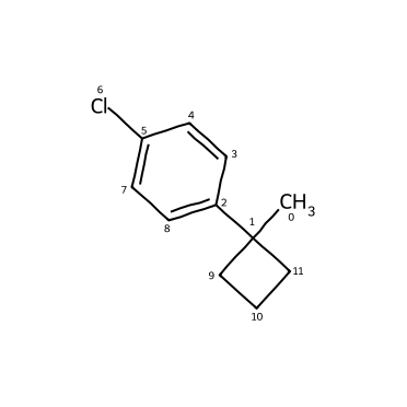 CC1(c2ccc(Cl)cc2)CCC1